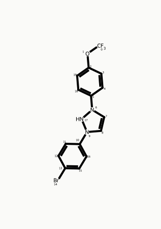 FC(F)(F)Oc1ccc(N2C=CN(c3ccc(Br)cc3)N2)cc1